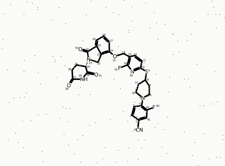 N#Cc1ccc(N2CCC(Sc3ccc(COc4cccc5c4CN([C@H]4CCC(=O)NC4=O)C5=O)c(F)n3)CC2)c(F)c1